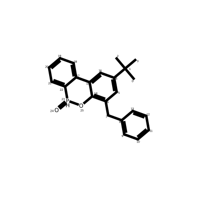 CC(C)(C)c1cc(Cc2ccccc2)c2c(c1)-c1ccccc1[PH](=O)O2